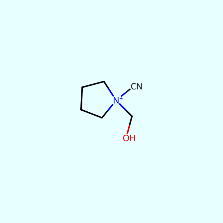 N#C[N+]1(CO)CCCC1